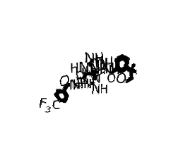 CC1(C)CCOc2c(C(=O)N[C@H]3CN4C(=N)N[C@@H](CNC(=O)c5ccc(C(F)(F)F)cc5)[C@@H]5NC(=N)N[C@@]54C3(O)O)cccc21